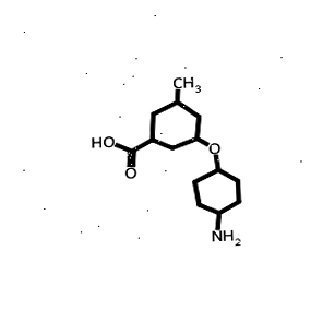 CC1CC(OC2CCC(N)CC2)CC(C(=O)O)C1